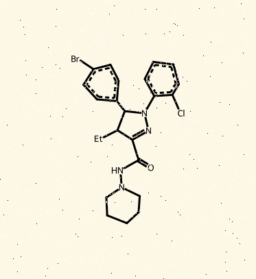 CCC1C(C(=O)NN2CCCCC2)=NN(c2ccccc2Cl)C1c1ccc(Br)cc1